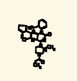 C=CC(=O)N1CCN(c2nc(=O)n(-c3ccccc3CCC)c3nc(-c4ccccc4F)c(Cl)nc23)[C@@H](C)C1